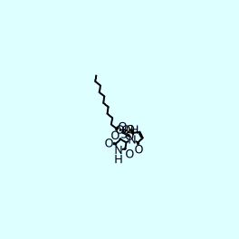 CCCCCCCCCCC(=O)OC1(S(=O)(=O)O)C(=O)NC(=O)C1N1C(=O)C=CC1=O